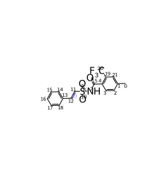 Cc1ccc(C(=O)NS(=O)(=O)/C=C/c2ccccc2)c(C(F)(F)F)c1